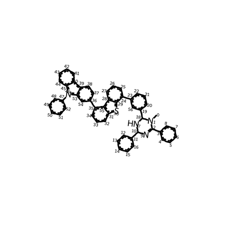 CN1C(c2ccccc2)=NC(c2ccccc2)NC1c1cccc(-c2cccc3c2sc2cccc(-c4ccc5c6ccccc6n(-c6ccccc6)c5c4)c23)c1